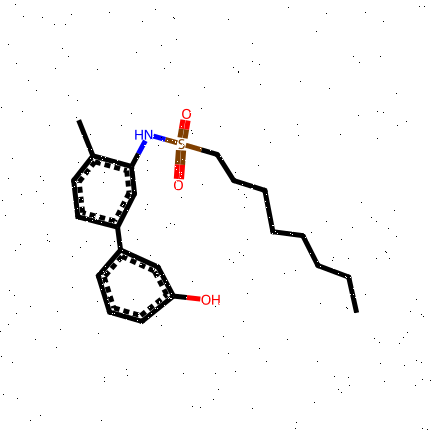 CCCCCCCCS(=O)(=O)Nc1cc(-c2cccc(O)c2)ccc1C